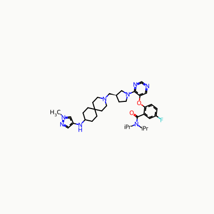 CC(C)N(C(=O)c1cc(F)ccc1Oc1cncnc1N1CC[C@@H](CN2CCC3(CCC(Nc4cnn(C)c4)CC3)CC2)C1)C(C)C